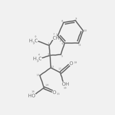 CC(C)C(C)(Cc1ccccc1)C(CC(=O)O)C(=O)O